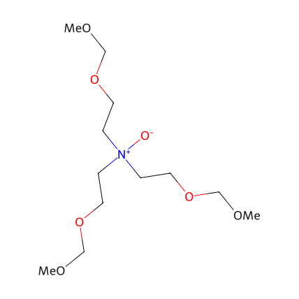 COCOCC[N+]([O-])(CCOCOC)CCOCOC